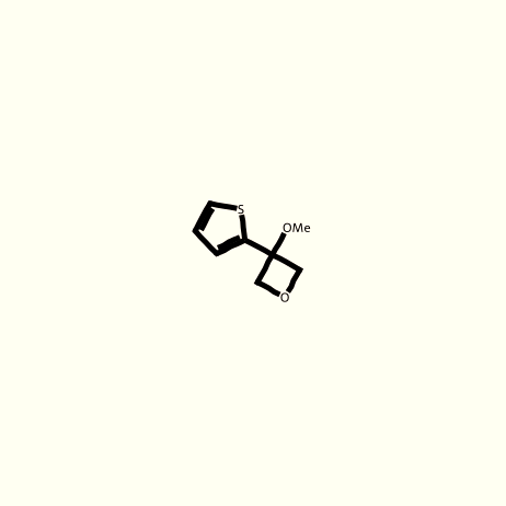 COC1(c2cccs2)COC1